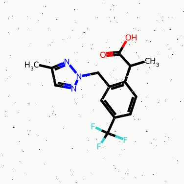 Cc1cnn(Cc2cc(C(F)(F)F)ccc2C(C)C(=O)O)n1